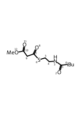 CCC(C)C(=O)NCCSC(=O)CC(=O)OC